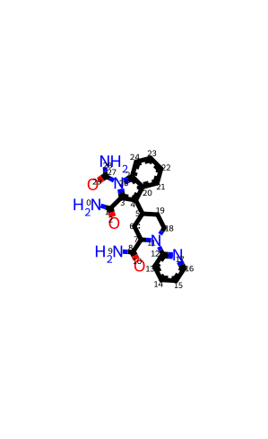 NC(=O)c1c(C2[C]C(C(N)=O)N(c3ccccn3)CC2)c2ccccc2n1C(N)=O